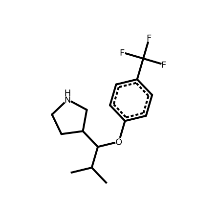 CC(C)C(Oc1ccc(C(F)(F)F)cc1)C1CCNC1